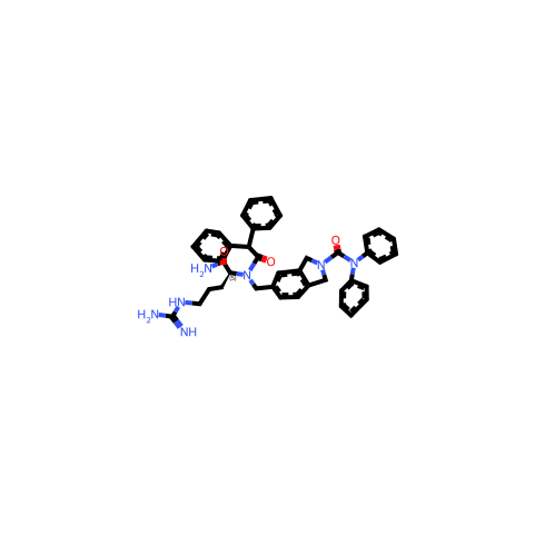 N=C(N)NCCC[C@@H](C(N)=O)N(Cc1ccc2c(c1)CN(C(=O)N(c1ccccc1)c1ccccc1)C2)C(=O)C(c1ccccc1)c1ccccc1